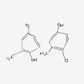 Cc1cc(Cl)ccc1O.Cc1cc(O)ccc1Cl